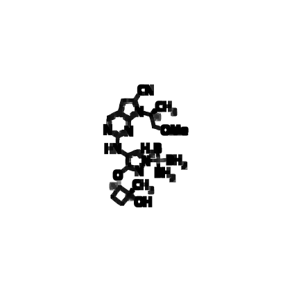 BC(B)(B)n1cc(Nc2ncc3cc(C#N)n([C@@H](C)COC)c3n2)c(O[C@H]2CC[C@@]2(C)O)n1